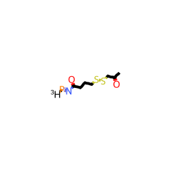 [3H]/P=N/C(=O)CCCSSCC(C)=O